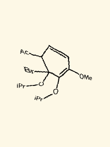 COC1=C(OC(C)C)C(Br)(OC(C)C)C(C(C)=O)C=C1